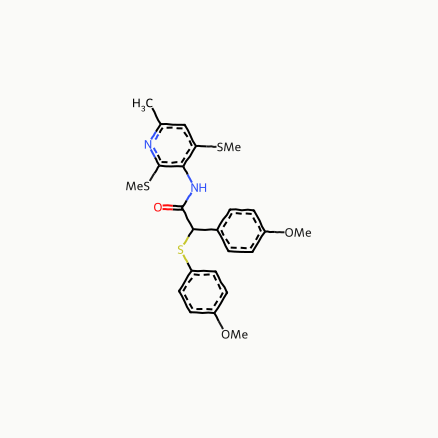 COc1ccc(SC(C(=O)Nc2c(SC)cc(C)nc2SC)c2ccc(OC)cc2)cc1